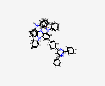 CN1c2ccccc2N(c2c(-n3c4ccccc4c4ccccc43)cc(-c3ccc(-c4cc(-c5ccccc5)nc(-c5ccccc5)n4)cc3)cc2-n2c3ccccc3c3ccccc32)c2ccccc21